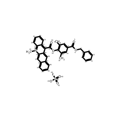 Cc1cc(C(=O)OCc2ccccc2)cc(C)c1OC(=O)c1c2ccccc2[n+](C)c2cc3ccccc3cc12.O=S(=O)([O-])F